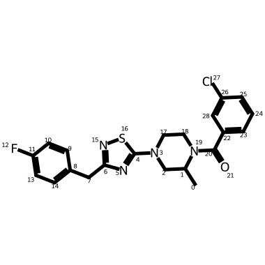 CC1CN(c2nc(Cc3ccc(F)cc3)ns2)CCN1C(=O)c1cccc(Cl)c1